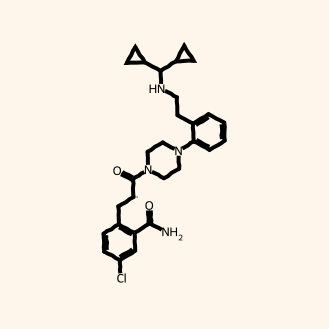 NC(=O)c1cc(Cl)ccc1C[CH]C(=O)N1CCN(c2ccccc2CCNC(C2CC2)C2CC2)CC1